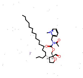 CCCCCCCCCCCCCCC(CCC)[C@H]1CCO[C@]1(C=O)COC(=O)N(Cc1cccc[n+]1C)C(C)=O.[I-]